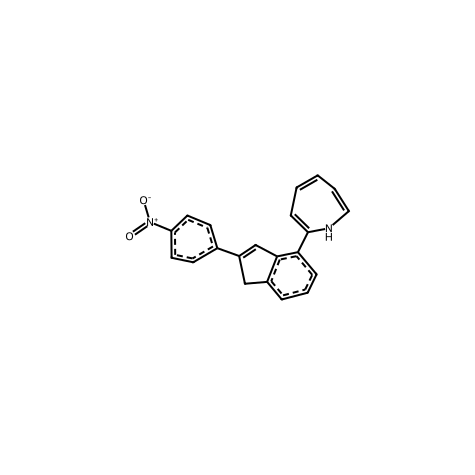 O=[N+]([O-])c1ccc(C2=Cc3c(cccc3C3=CC=CC=CN3)C2)cc1